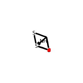 N=S123SC1(S2)S3